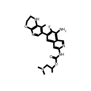 Cc1c(-c2cc3cc(NC(=O)OC(C)CN(C)C)ncc3c(N)c2F)cnc2c1NCCO2